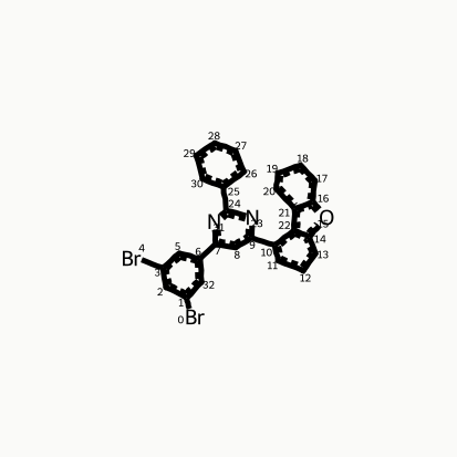 Brc1cc(Br)cc(-c2cc(-c3cccc4oc5ccccc5c34)nc(-c3ccccc3)n2)c1